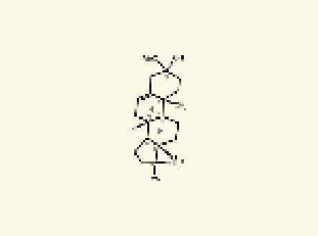 CO[C@@]1(O)CC[C@@]2(C)C(=CC[C@@H]3[C@@H]2CC[C@@]2(C)[C@H]3CC[C@]2(C)C(C)=O)C1